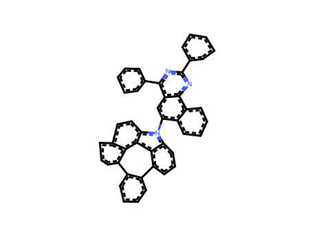 c1ccc(-c2nc(-c3ccccc3)c3cc(-n4c5cccc6c5c5c7c(cccc7ccc54)-c4ccccc4-6)c4ccccc4c3n2)cc1